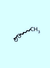 CCCCCC=CCOCC1CO1